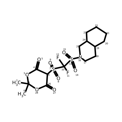 CC1(C)OC(=O)C(S(=O)(=O)C(F)(F)S(=O)(=O)N2CCC3CCCCC3C2)C(=O)O1